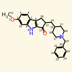 COc1ccc2c3c([nH]c2c1)C(=O)C(CC1CCN(Cc2ccccc2)CC1)C3